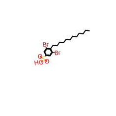 CCCCCCCCCCCCc1c(Br)cc(S(=O)(=O)O)cc1Br